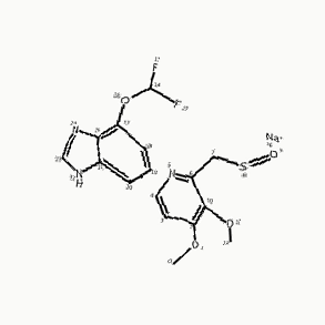 COc1ccnc(C[S-]=O)c1OC.FC(F)Oc1cccc2[nH]cnc12.[Na+]